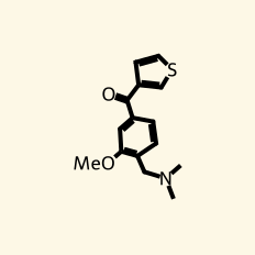 COc1cc(C(=O)c2ccsc2)ccc1CN(C)C